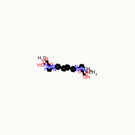 COCC[C@H](NC(=O)O)C(=O)N1CCC[C@H]1c1nc2cc(-c3ccc4cc(-c5ccc6[nH]c([C@@H]7CCCN7C(=O)[C@H](CCO)N(C)C(=O)OC)nc6c5)ccc4c3)ccc2[nH]1